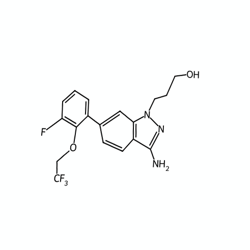 Nc1nn(CCCO)c2cc(-c3cccc(F)c3OCC(F)(F)F)ccc12